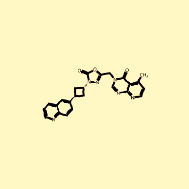 Cc1ccnc2ncn(Cc3nn([C@H]4C[C@H](c5ccc6ncccc6c5)C4)c(=O)o3)c(=O)c12